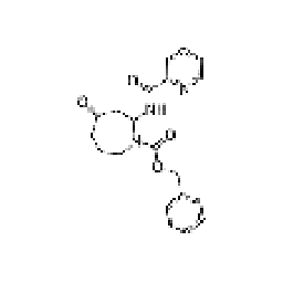 O=C1CCCN(C(=O)OCc2ccccc2)C(NC(=O)c2ccccn2)C1